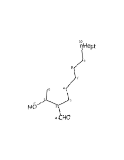 [CH2]C(O)C(C=O)CCCCCCCCCCCC